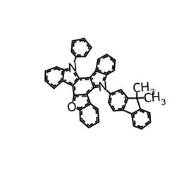 CC1(C)c2ccccc2-c2ccc(-n3c4ccccc4c4c5c(c6ccccc6n5-c5ccccc5)c5oc6ccccc6c5c43)cc21